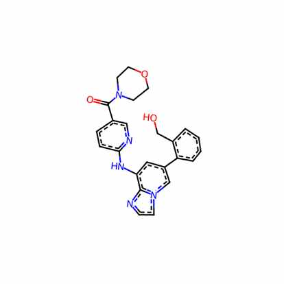 O=C(c1ccc(Nc2cc(-c3ccccc3CO)cn3ccnc23)nc1)N1CCOCC1